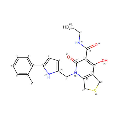 Cc1ccccc1-c1ccc(Cn2c3c(c(O)c(C(=O)NCC(=O)O)c2=O)CSC3)[nH]1